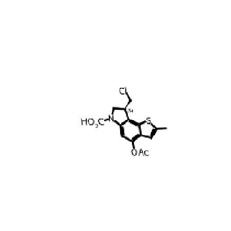 CC(=O)Oc1cc2c(c3sc(C)cc13)[C@H](CCl)CN2C(=O)O